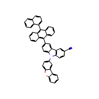 N#Cc1ccc2c(c1)c1cc(-c3c4ccccc4c(-c4cccc5ccccc45)c4ccccc34)ccc1n2-c1ccc2oc3ccccc3c2c1